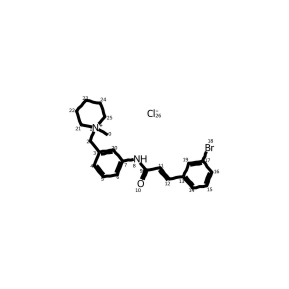 C[N+]1(Cc2cccc(NC(=O)/C=C/c3cccc(Br)c3)c2)CCCCC1.[Cl-]